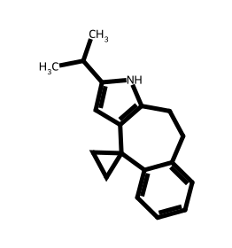 CC(C)c1cc2c([nH]1)CCc1ccccc1C21CC1